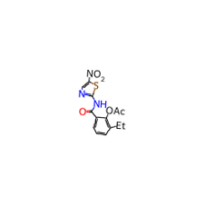 CCc1cccc(C(=O)Nc2ncc([N+](=O)[O-])s2)c1OC(C)=O